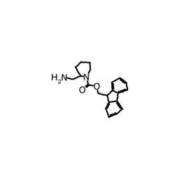 NCC1CCCCN1C(=O)OCC1c2ccccc2-c2ccccc21